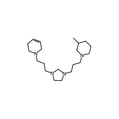 CC1CCCN(CCCN2CCN(CCCN3CC=CCC3)C2)C1